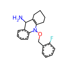 NC1C2=C(CCCC2)N(OCc2ccccc2F)c2ccccc21